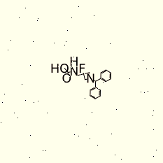 O=C(O)NCC1(F)CN(C(c2ccccc2)c2ccccc2)C1